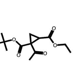 CCOC(=O)C1CC1(C(C)=O)C(=O)OC(C)(C)C